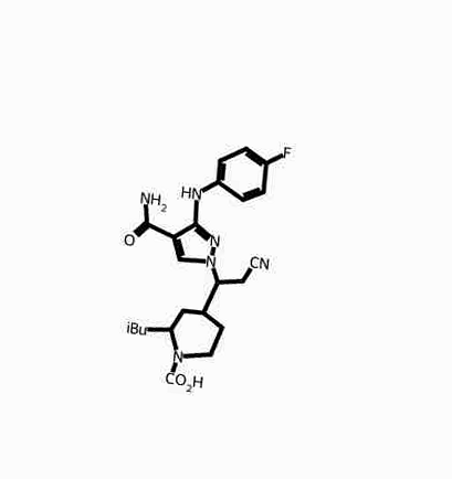 CCC(C)C1CC(C(CC#N)n2cc(C(N)=O)c(Nc3ccc(F)cc3)n2)CCN1C(=O)O